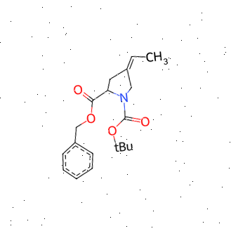 CC=C1CC(C(=O)OCc2ccccc2)N(C(=O)OC(C)(C)C)C1